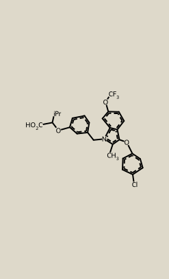 Cc1c(Oc2ccc(Cl)cc2)c2ccc(OC(F)(F)F)cc2n1Cc1cccc(OC(C(=O)O)C(C)C)c1